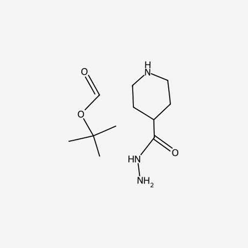 CC(C)(C)OC=O.NNC(=O)C1CCNCC1